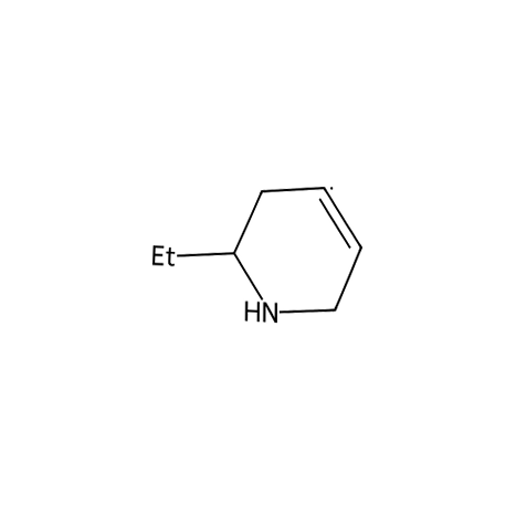 CCC1C[C]=CCN1